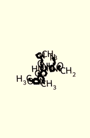 C=CC(=O)N1CCN(C2NC(OCC3CCCN3C)NC3C(=O)[C@@]4(CCC32)Cc2cc(OC)ccc2N(C)C4)CC1CC#N